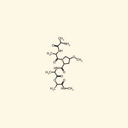 CNC(=O)C(C)OC(=O)C(C)NC(=O)C1CC(OC)CN1C(=O)C(C)NC(=O)C(C)N